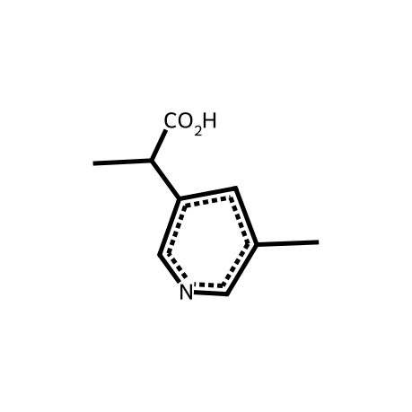 Cc1cncc(C(C)C(=O)O)c1